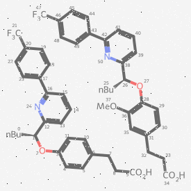 CCCC[C@H](Oc1ccc(CCC(=O)O)cc1)c1cccc(-c2ccc(C(F)(F)F)cc2)n1.CCCC[C@H](Oc1ccc(CCC(=O)O)cc1OC)c1cccc(-c2ccc(C(F)(F)F)cc2)n1